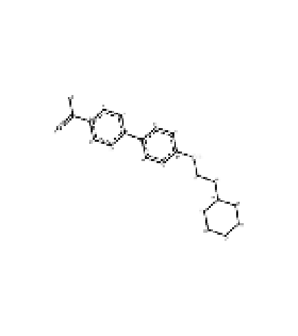 CC(=O)c1ccc(-c2ccc(OCCC3CCCCC3)cc2)cc1